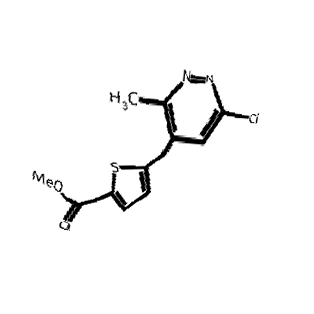 COC(=O)c1ccc(-c2cc(Cl)nnc2C)s1